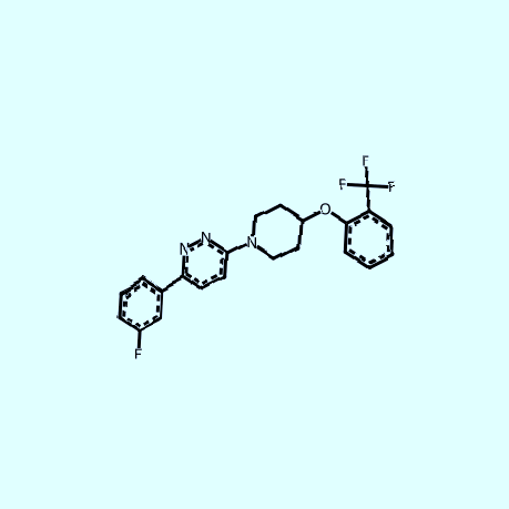 Fc1cccc(-c2ccc(N3CCC(Oc4ccccc4C(F)(F)F)CC3)nn2)c1